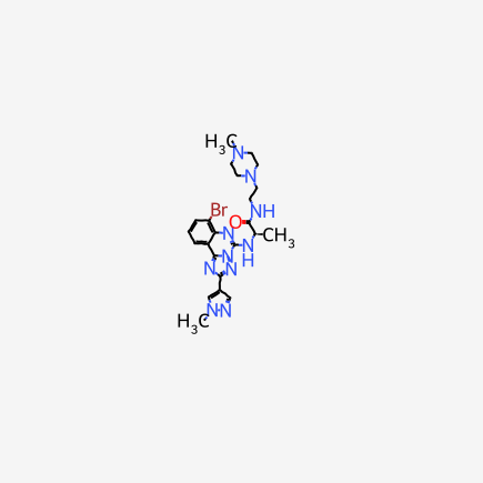 C[C@@H](Nc1nc2c(Br)cccc2c2nc(-c3cnn(C)c3)nn12)C(=O)NCCN1CCN(C)CC1